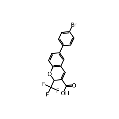 O=C(O)C1=Cc2cc(-c3ccc(Br)cc3)ccc2OC1C(F)(F)F